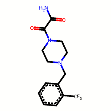 NC(=O)C(=O)N1CCN(Cc2ccccc2C(F)(F)F)CC1